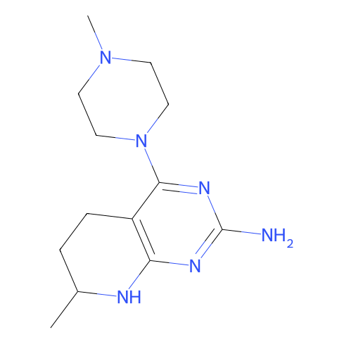 CC1CCc2c(nc(N)nc2N2CCN(C)CC2)N1